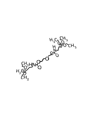 CCO[Si](C)(CCCNC(=O)OCCOCCOC(=O)NCCC[Si](OCC)(OCC)OCC)OCC